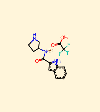 O=C(O)C(F)(F)F.O=C(c1cc2ccccc2[nH]1)N(Br)[C@H]1CCNC1